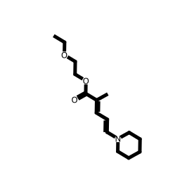 CCOCCOC(=O)/C(C)=C/C=C/N1CCCCC1